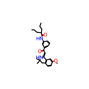 CCCC(CCC)C(=O)Nc1cccc(C(=O)C=C2NC(C)(C)Cc3ccc(OC)cc32)c1